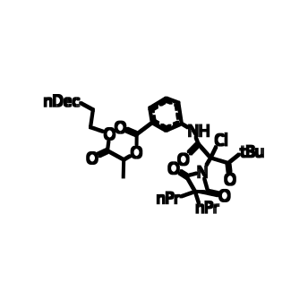 CCCCCCCCCCCCOC(=O)C(C)OC(=O)c1cccc(NC(=O)C(Cl)(C(=O)C(C)(C)C)N2C(=O)C(CCC)(CCC)C2=O)c1